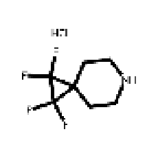 Cl.FC1(F)C(F)(F)C12CCNCC2